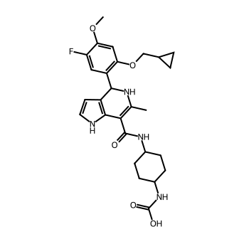 COc1cc(OCC2CC2)c(C2NC(C)=C(C(=O)NC3CCC(NC(=O)O)CC3)c3[nH]ccc32)cc1F